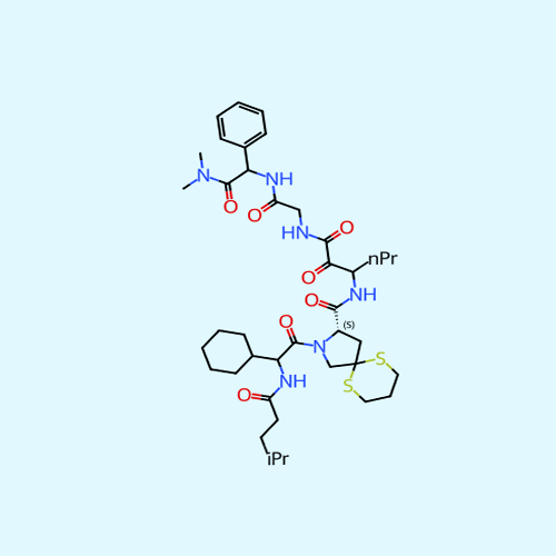 CCCC(NC(=O)[C@@H]1CC2(CN1C(=O)C(NC(=O)CCC(C)C)C1CCCCC1)SCCCS2)C(=O)C(=O)NCC(=O)NC(C(=O)N(C)C)c1ccccc1